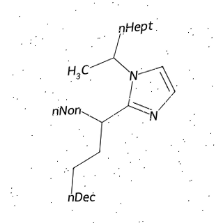 CCCCCCCCCCCCC(CCCCCCCCC)c1nccn1C(C)CCCCCCC